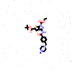 CCOC(=O)n1nc(NC(=O)c2ccc(CN3CCN(C)CC3)cc2)c2cc(C(=O)OC(C)(C)C)sc21